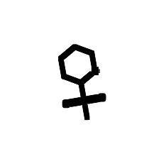 CS(=O)(=O)C1CCCC[N]1